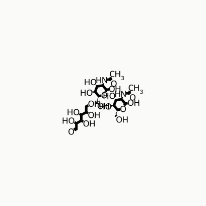 CC(=O)N[C@H]1C(O)O[C@H](CO)[C@@H](O)[C@@H]1O.CC(=O)N[C@H]1C(O)O[C@H](CO)[C@@H](O)[C@@H]1O.O=CC(O)C(O)C(O)C(O)CO